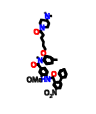 COc1cc(C(=O)N(C)c2ccc(C)cc2OCCCCCC(=O)N2CCC(N(C)C)CC2)ccc1NC(=O)c1cc([N+](=O)[O-])ccc1-c1ccccc1